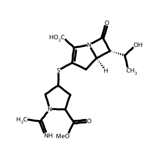 COC(=O)C1CC(SC2=C(C(=O)O)N3C(=O)[C@H](C(C)O)[C@H]3C2)CN1C(C)=N